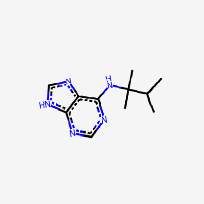 CC(C)C(C)(C)Nc1ncnc2[nH]cnc12